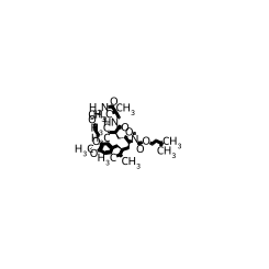 COCCCOc1cc(C[C@@H](C[C@H]2[C@H](C[C@H](C(=O)NCC(C)(C)C(N)=O)C(C)C)OCN2C(=O)OCC[C](C)C)C(C)C)ccc1OC